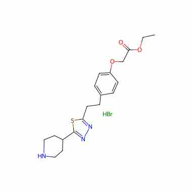 Br.CCOC(=O)COc1ccc(CCc2nnc(C3CCNCC3)s2)cc1